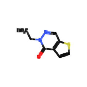 CCOC(=O)Cn1ncc2sccc2c1=O